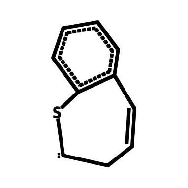 [C]1CC=Cc2ccccc2S1